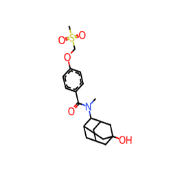 CN(C(=O)c1ccc(OCS(C)(=O)=O)cc1)C1C2CC3CC1CC(O)(C3)C2